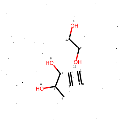 C=C.C=C.CC(O)CO.OCCO